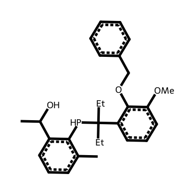 CCC(CC)(Pc1c(C)cccc1C(C)O)c1cccc(OC)c1OCc1ccccc1